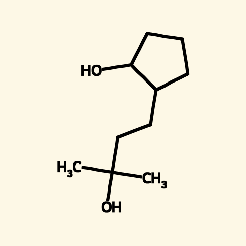 CC(C)(O)CCC1CCCC1O